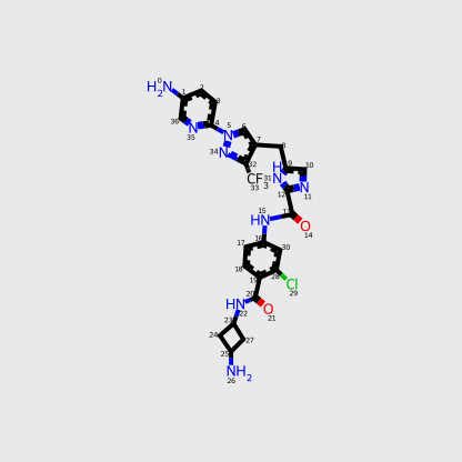 Nc1ccc(-n2cc(Cc3cnc(C(=O)Nc4ccc(C(=O)NC5CC(N)C5)c(Cl)c4)[nH]3)c(C(F)(F)F)n2)nc1